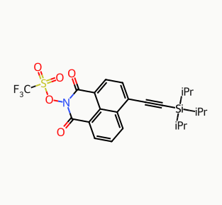 CC(C)[Si](C#Cc1ccc2c3c(cccc13)C(=O)N(OS(=O)(=O)C(F)(F)F)C2=O)(C(C)C)C(C)C